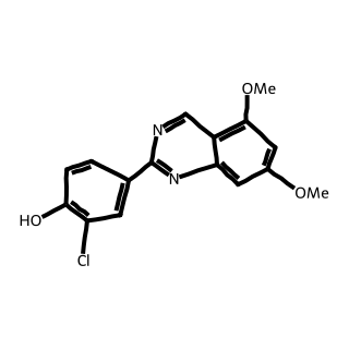 COc1cc(OC)c2cnc(-c3ccc(O)c(Cl)c3)nc2c1